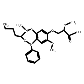 CCCCC1CN(c2ccccc2)c2cc(SC)c(OCC(OC)C(=O)O)cc2SN1C